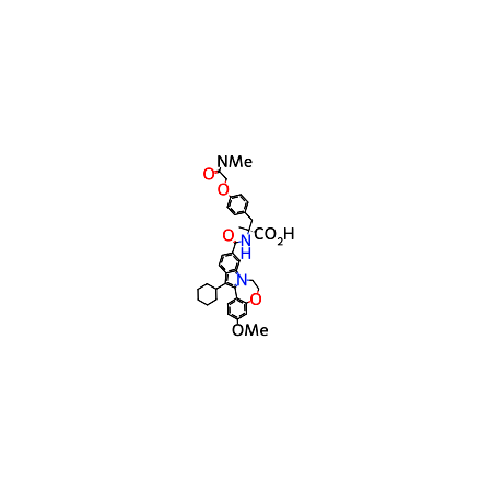 CNC(=O)COc1ccc(C[C@](C)(NC(=O)c2ccc3c(C4CCCCC4)c4n(c3c2)CCOc2cc(OC)ccc2-4)C(=O)O)cc1